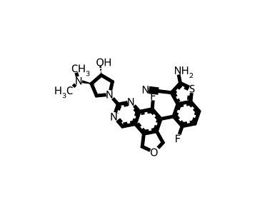 CN(C)[C@@H]1CN(c2ncc3c4c(c(-c5c(F)ccc6sc(N)c(C#N)c56)c(F)c3n2)COC4)C[C@H]1O